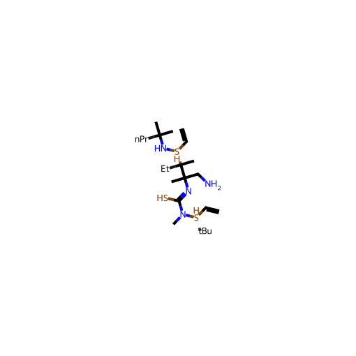 C=C[SH](N(C)C(S)=NC(C)(CN)C(C)(CC)[SH](C=C)NC(C)(C)CCC)C(C)(C)C